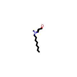 CCCCCCCCN(C)C=CC=O